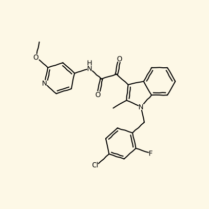 COc1cc(NC(=O)C(=O)c2c(C)n(Cc3ccc(Cl)cc3F)c3ccccc23)ccn1